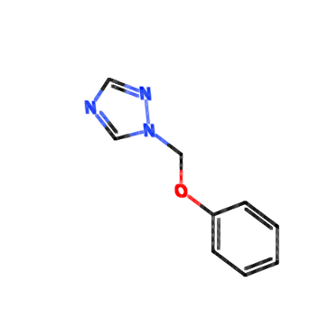 c1ccc(OCn2cncn2)cc1